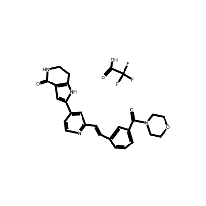 O=C(O)C(F)(F)F.O=C1NCCc2[nH]c(-c3ccnc(C=Cc4cccc(C(=O)N5CCOCC5)c4)c3)cc21